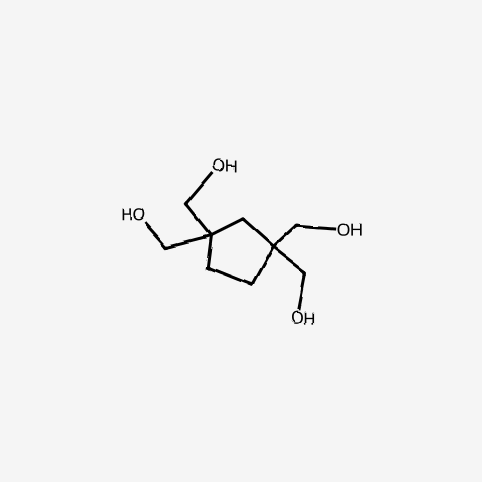 OCC1(CO)CCC(CO)(CO)C1